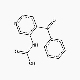 O=C(O)Nc1cnccc1C(=O)c1ccccc1